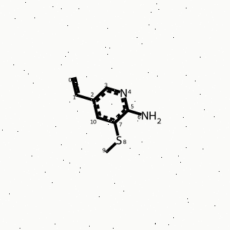 C=Cc1cnc(N)c(SC)c1